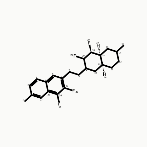 Cc1ccc2cc(CCC3C[C@@H]4CCC(C)C[C@@H]4[C@H](F)C3F)c(F)c(F)c2c1